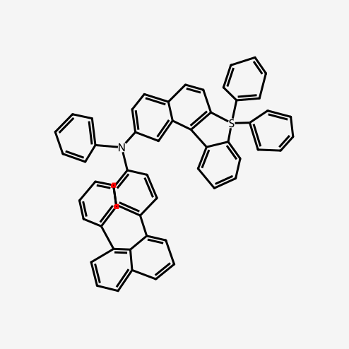 c1ccc(-c2cccc3cccc(-c4ccc(N(c5ccccc5)c5ccc6ccc7c(c6c5)-c5ccccc5S7(c5ccccc5)c5ccccc5)cc4)c23)cc1